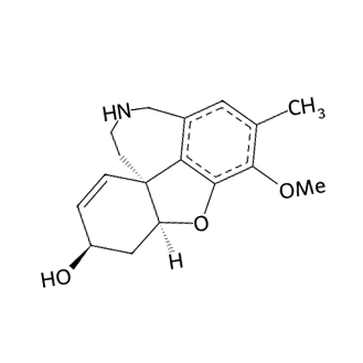 COc1c(C)cc2c3c1O[C@H]1C[C@@H](O)C=C[C@@]31CCNC2